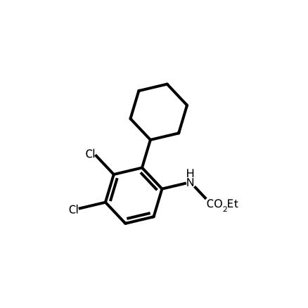 CCOC(=O)Nc1ccc(Cl)c(Cl)c1C1CCCCC1